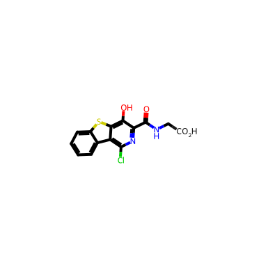 O=C(O)CNC(=O)c1nc(Cl)c2c(sc3ccccc32)c1O